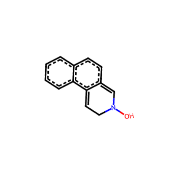 ON1C=c2ccc3ccccc3c2=CC1